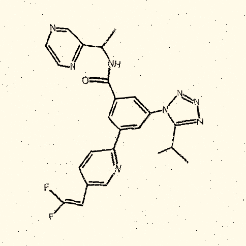 CC(C)c1nnnn1-c1cc(C(=O)NC(C)c2cnccn2)cc(-c2ccc(C=C(F)F)cn2)c1